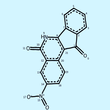 O=C1c2ccccc2-c2[nH]c(=O)c3cc([N+](=O)[O-])ccc3c21